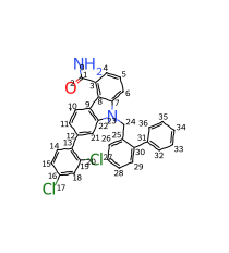 NC(=O)c1cccc2c1c1[c]cc(-c3ccc(Cl)cc3Cl)cc1n2Cc1ccccc1-c1ccccc1